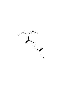 CCN(CC)C(=O)CNC(=O)OC